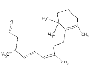 CC1=C(CC/C(C)=C\C=C\[C@H](C)CC=O)C(C)(C)CCC1